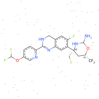 NC1N[C@](CF)(c2cc3c(cc2F)CNC(c2ccc(OC(F)F)cn2)=N3)C[C@@H](C(F)(F)F)O1